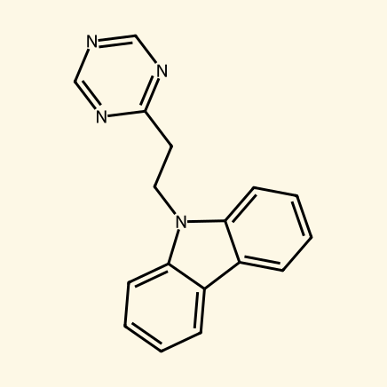 c1ccc2c(c1)c1ccccc1n2CCc1ncncn1